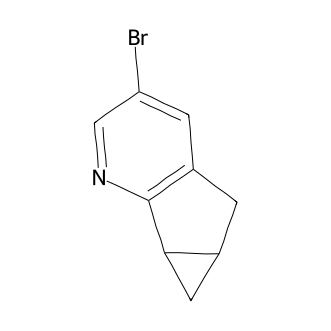 Brc1cnc2c(c1)CC1CC21